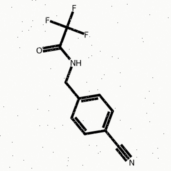 N#Cc1ccc(CNC(=O)C(F)(F)F)cc1